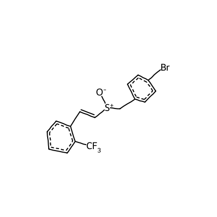 [O-][S+](C=Cc1ccccc1C(F)(F)F)Cc1ccc(Br)cc1